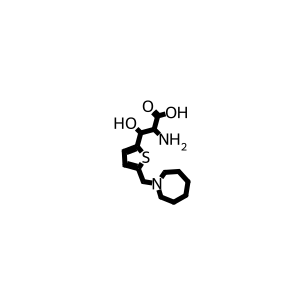 NC(C(=O)O)C(O)c1ccc(CN2CCCCCC2)s1